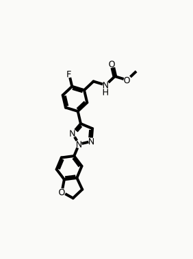 COC(=O)NCc1cc(-c2cnn(-c3ccc4c(c3)CCO4)n2)ccc1F